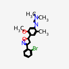 COc1cc(N=CN(C)C)c(C)cc1C1CC(c2ccccc2Br)=NO1